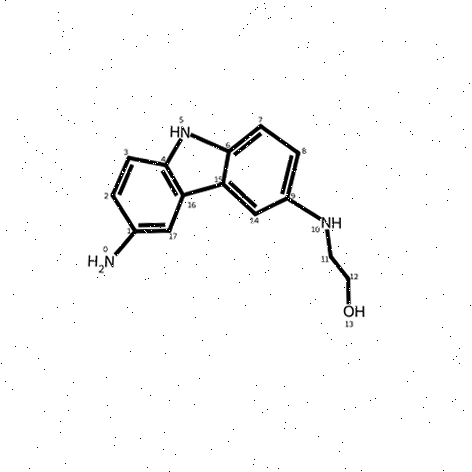 Nc1ccc2[nH]c3ccc(NCCO)cc3c2c1